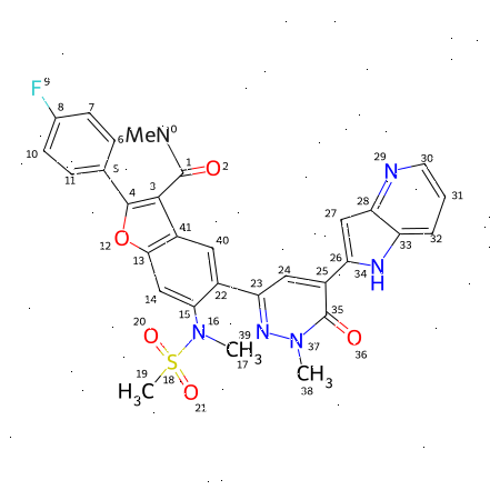 CNC(=O)c1c(-c2ccc(F)cc2)oc2cc(N(C)S(C)(=O)=O)c(-c3cc(-c4cc5ncccc5[nH]4)c(=O)n(C)n3)cc12